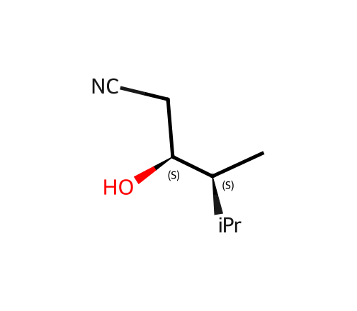 CC(C)[C@H](C)[C@@H](O)CC#N